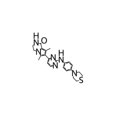 Cc1c(-c2ccnc(Nc3ccc(N4CCSCC4)cc3)n2)c(C)n2c1C(=O)NCC2